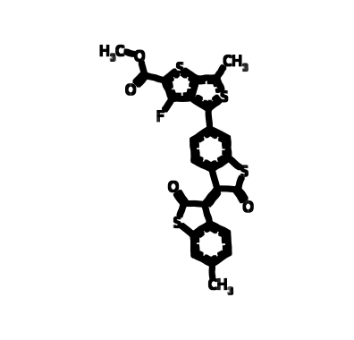 COC(=O)c1sc2c(C)sc(-c3ccc4c(c3)SC(=O)/C4=C3/C(=O)Sc4cc(C)ccc43)c2c1F